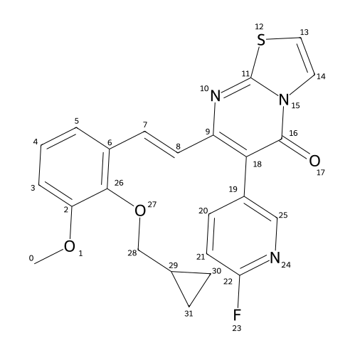 COc1cccc(C=Cc2nc3sccn3c(=O)c2-c2ccc(F)nc2)c1OCC1CC1